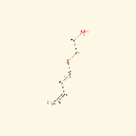 C=C/C=C/SCCO